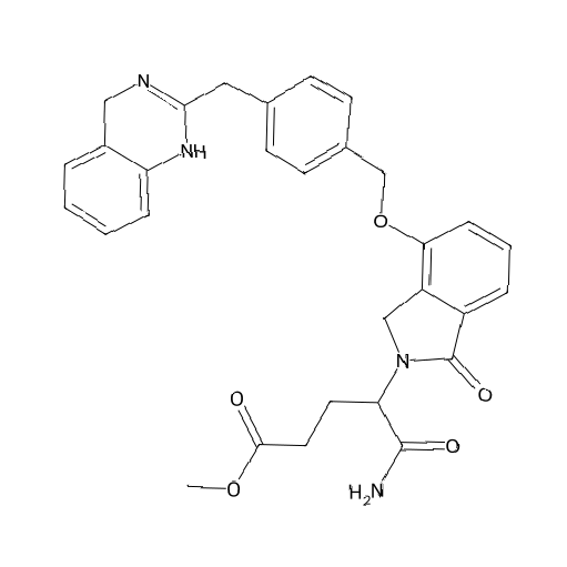 COC(=O)CCC(C(N)=O)N1Cc2c(OCc3ccc(CC4=NCc5ccccc5N4)cc3)cccc2C1=O